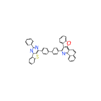 c1ccc(-c2nc(-c3ccc(-c4ccc(-c5nc6c7ccccc7ccc6c6oc7ccccc7c56)cc4)cc3)c3sc4ccccc4c3n2)cc1